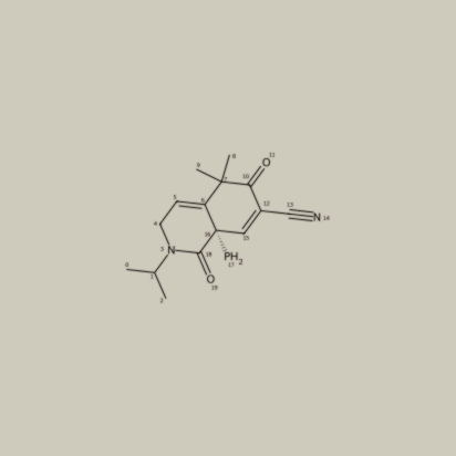 CC(C)N1CC=C2C(C)(C)C(=O)C(C#N)=C[C@@]2(P)C1=O